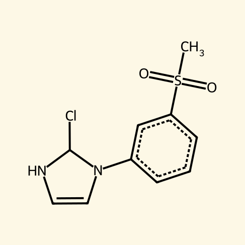 CS(=O)(=O)c1cccc(N2C=CNC2Cl)c1